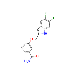 NC(=O)c1cccc(OCc2cc3cc(F)c(F)cc3[nH]2)c1